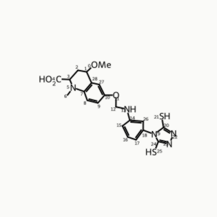 COC1CC(C(=O)O)N(C)c2ccc(OCNc3cccc(-n4c(S)nnc4S)c3)cc21